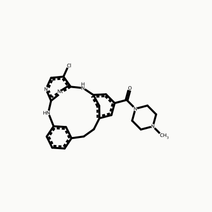 CN1CCN(C(=O)c2cc3cc(c2)Nc2nc(ncc2Cl)Nc2cccc(c2)CC3)CC1